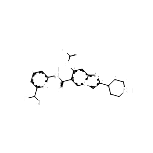 CC(C)Oc1cc2nc(C3CCNCC3)cn2cc1C(=O)Nc1cccc(C(F)F)n1